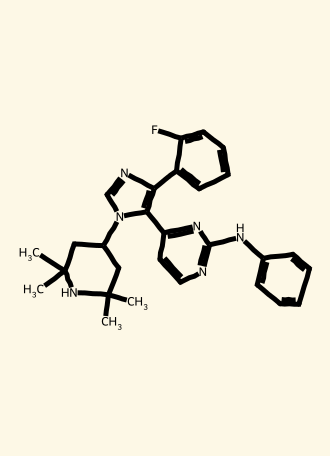 CC1(C)CC(n2cnc(-c3ccccc3F)c2-c2ccnc(Nc3ccccc3)n2)CC(C)(C)N1